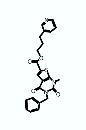 Cn1c(=O)n(Cc2ccccc2)c(=O)c2cc(C(=O)OCCCc3cccnc3)sc21